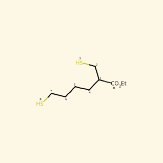 CCOC(=O)C(CS)CCCCS